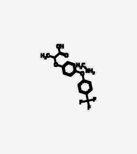 CC(Oc1ccc(Oc2ccc(C(F)(F)F)cc2)cc1)C(=O)O.CN